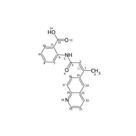 C/C(=C/C(=O)Nc1ccccc1C(=O)O)c1ccc2ncccc2c1